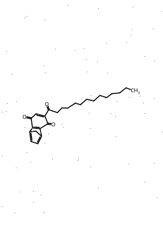 CCCCCCCCCCCCCC(=O)C1=CC(=O)C2=C(C1=O)C1=CC=C2C1